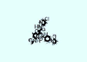 CC(=O)Nc1ccc2oc(C(=O)Nc3ccc(Cl)cn3)c(NC(=O)[C@H]3CC[C@H](N4CCCC4=O)CC3)c2n1